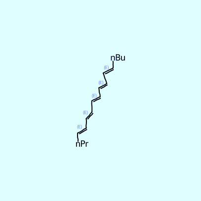 [CH2]CC/C=C/C=C/C=C/C=C/C=C/CCCC